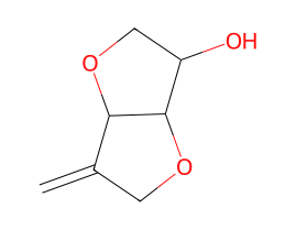 C=C1COC2C(O)COC12